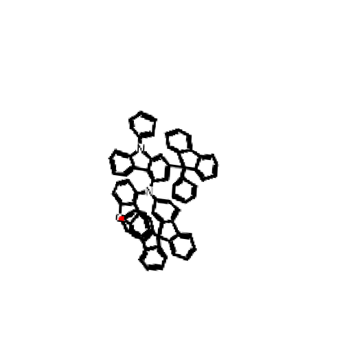 c1ccc(-n2c3ccccc3c3c(N(c4ccc5c(c4)C4(c6ccccc6-c6ccccc64)c4ccccc4-5)c4cccc5oc6ccccc6c45)cc(C4(c5ccccc5)c5ccccc5-c5ccccc54)cc32)cc1